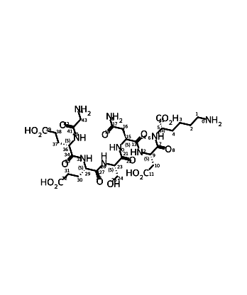 NCCCC[C@H](NC(=O)[C@H](CC(=O)O)NC(=O)[C@H](CC(N)=O)NC(=O)[C@H](CO)NC(=O)[C@H](CCC(=O)O)NC(=O)[C@H](CCC(=O)O)NC(=O)CN)C(=O)O